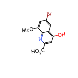 COc1cc(Br)cc2c(O)cc(C(=O)O)nc12